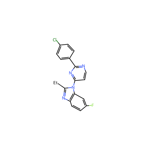 CCc1nc2ccc(F)cc2n1-c1ccnc(-c2ccc(Cl)cc2)n1